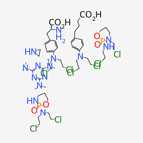 C1CN1.CN(C)c1nc(N(C)C)nc(N(C)C)n1.N[C@@H](Cc1ccc(N(CCCl)CCCl)cc1)C(=O)O.O=C(O)CCCc1ccc(N(CCCl)CCCl)cc1.O=P1(N(CCCl)CCCl)NCCCO1.O=P1(NCCCl)OCCCN1CCCl